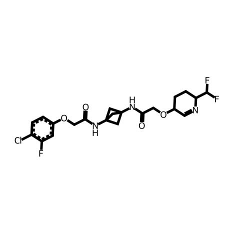 O=C(COc1ccc(Cl)c(F)c1)NC12CC(NC(=O)COC3C=NC(C(F)F)CC3)(C1)C2